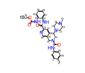 Cc1ccc(NC(=O)N(CCN2CCN(C)CC2)Cc2ccc(C(=O)Nc3ccccc3NC(=O)OC(C)(C)C)nc2)cc1